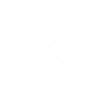 CCCCCOc1cccc(N2C=C(CC(C)OC(=O)CCC)N=CC2)c1